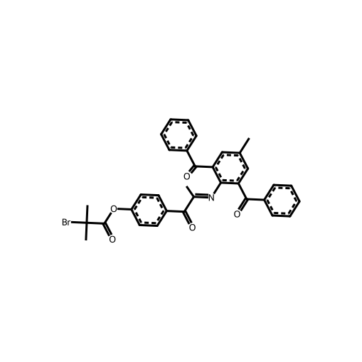 CC(=Nc1c(C(=O)c2ccccc2)cc(C)cc1C(=O)c1ccccc1)C(=O)c1ccc(OC(=O)C(C)(C)Br)cc1